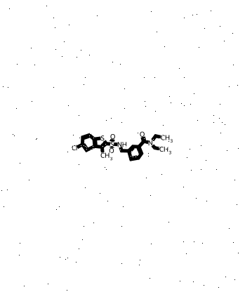 CCN(CC)C(=O)c1cccc(CNS(=O)(=O)c2sc3ccc(Cl)cc3c2C)c1